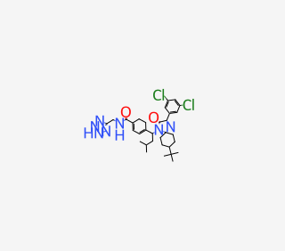 CC(C)CC(C1=CC=C(C(=O)NCc2nn[nH]n2)CC1)N1C(=O)C(c2cc(Cl)cc(Cl)c2)=NC12CCC(C(C)(C)C)CC2